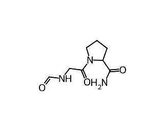 NC(=O)C1CCCN1C(=O)CNC=O